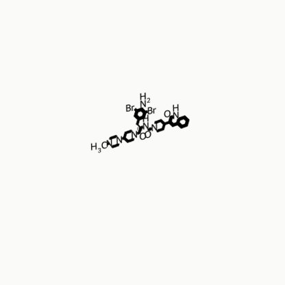 CN1CCN(C2CCN(C(=O)[C@@H](Cc3cc(Br)c(N)c(Br)c3)NC(=O)N3CCC(c4cc5ccccc5[nH]c4=O)CC3)CC2)CC1